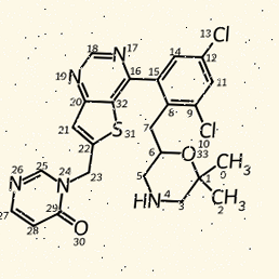 CC1(C)CNCC(Cc2c(Cl)cc(Cl)cc2-c2ncnc3cc(Cn4cnccc4=O)sc23)O1